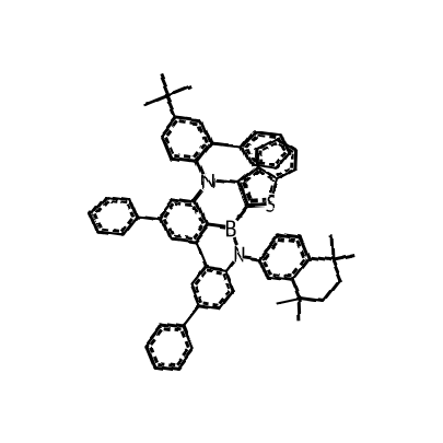 CC(C)(C)c1ccc(N2c3cc(-c4ccccc4)cc4c3B(c3sc5ccccc5c32)N(c2ccc3c(c2)C(C)(C)CCC3(C)C)c2ccc(-c3ccccc3)cc2-4)c(-c2ccccc2)c1